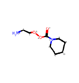 NCCOOC(=O)N1CC[CH]CC1